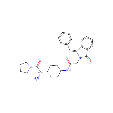 N[C@H](C(=O)N1CCCC1)[C@H]1CC[C@H](NC(=O)CN2C(=O)c3ccccc3C2=Cc2ccccc2)CC1